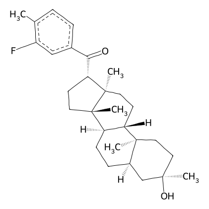 Cc1ccc(C(=O)[C@H]2CC[C@@]3(C)[C@@H]4CC[C@@H]5C[C@](C)(O)CC[C@]5(C)[C@H]4CC[C@]23C)cc1F